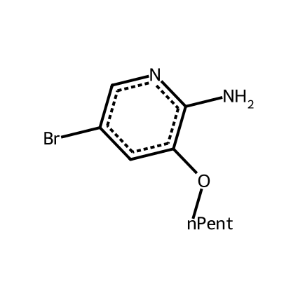 CCCCCOc1cc(Br)cnc1N